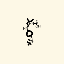 CC(CCNc1ccc(O[Si](C)(C)C(C)(C)C)cc1)C(C)NC(=O)O